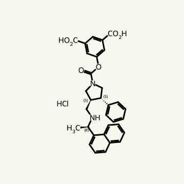 C[C@@H](NC[C@H]1CN(C(=O)Oc2cc(C(=O)O)cc(C(=O)O)c2)C[C@@H]1c1ccccc1)c1cccc2ccccc12.Cl